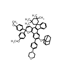 COc1ccc(C2(c3ccc(OC)cc3)C=Cc3c4c(c5cc(OC67CC8CC(CC(C8)C6)C7)c(-c6ccc(N7CCOCC7)cc6)cc5c3O2)-c2ccccc2C42CC(C)(C)CC(C)(C)C2)cc1